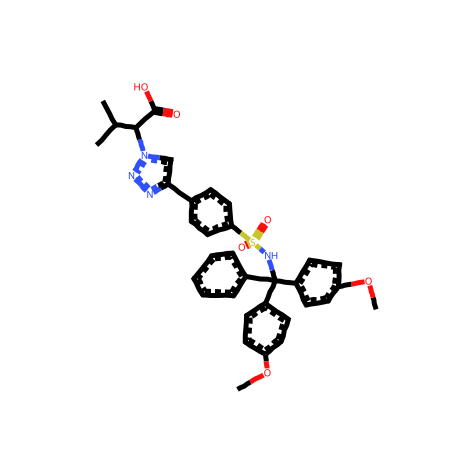 COc1ccc(C(NS(=O)(=O)c2ccc(-c3cn(C(C(=O)O)C(C)C)nn3)cc2)(c2ccccc2)c2ccc(OC)cc2)cc1